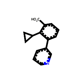 O=C(O)c1cccc(-c2cccnc2)c1C1CC1